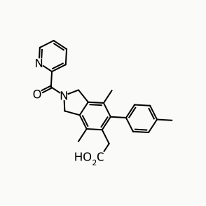 Cc1ccc(-c2c(C)c3c(c(C)c2CC(=O)O)CN(C(=O)c2ccccn2)C3)cc1